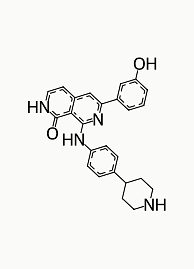 O=c1[nH]ccc2cc(-c3cccc(O)c3)nc(Nc3ccc(C4CCNCC4)cc3)c12